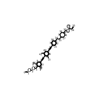 C=COCOCc1c(F)cc(C#Cc2c(C)cc(C#Cc3ccc(CCC4CCC(COC(=O)C=C)CC4)cc3)cc2C)cc1F